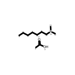 CC(=O)O.CCCCCCCN(C)C